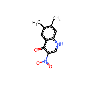 Cc1cc2[nH]cc([N+](=O)[O-])c(=O)c2cc1C